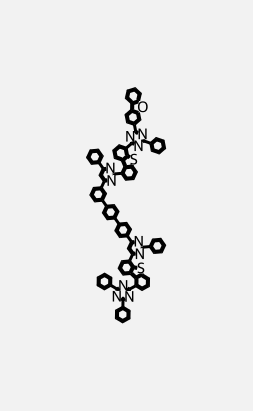 c1ccc(-c2cc(-c3cccc(-c4ccc(-c5ccc(-c6cc(-c7cccc8c7sc7cccc(-c9nc(-c%10ccccc%10)nc(-c%10ccccc%10)n9)c78)nc(-c7ccccc7)n6)cc5)cc4)c3)nc(-c3cccc4sc5c(-c6nc(-c7ccccc7)nc(-c7ccc8c(c7)oc7ccccc78)n6)cccc5c34)n2)cc1